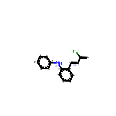 C=C(Cl)/C=C/c1ccccc1Nc1ccccc1